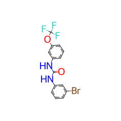 O=C(Nc1cccc(Br)c1)Nc1cccc(OC(F)(F)F)c1